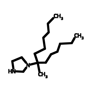 CCCCCCC(C)(CCCCCC)N1CCNC1